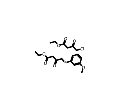 CCOC(=O)CC(=O)CCl.CCOC(=O)CC(=O)CSc1cccc(OC)c1